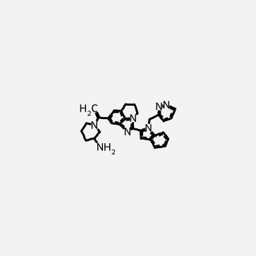 C=C(c1cc2c3c(c1)nc(-c1cc4ccccc4n1Cc1cccnn1)n3CCC2)N1CCCC(N)C1